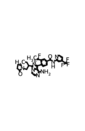 CCC(CN1CCCC1=O)c1nc(-c2ccc(C(=O)Nc3cc(C(F)(F)F)ccn3)cc2C(C)(F)F)c2c(N)nccn12